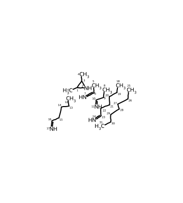 CC1NC1C.CC=N.CCC=N.CCCCC=N.CCCCCC=N.CCCCCCC